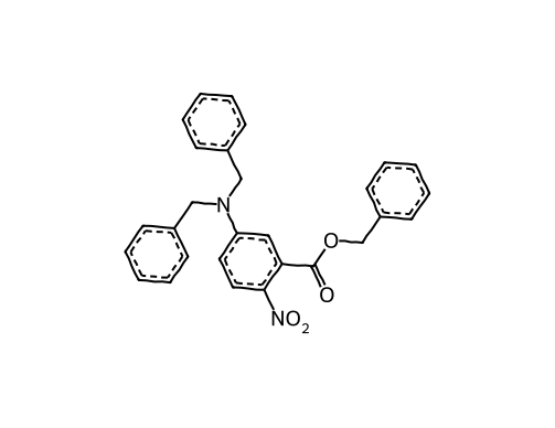 O=C(OCc1ccccc1)c1cc(N(Cc2ccccc2)Cc2ccccc2)ccc1[N+](=O)[O-]